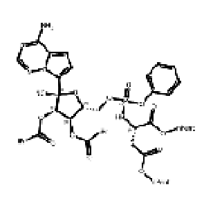 CCCCCOC(=O)C[C@H](N[P@](=O)(OC[C@H]1O[C@@](C#N)(c2ccc3c(N)ncnn23)[C@H](OC(=O)C(C)C)[C@@H]1OC(=O)C(C)C)Oc1ccccc1)C(=O)OCCCCC